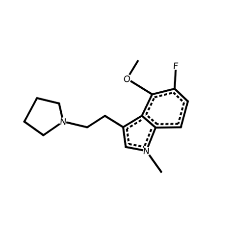 COc1c(F)ccc2c1c(CCN1CCCC1)cn2C